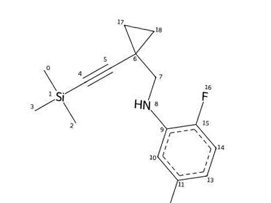 C[Si](C)(C)C#CC1(CNc2cc(F)ccc2F)CC1